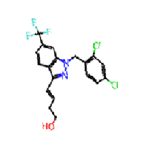 OCCC=Cc1nn(Cc2ccc(Cl)cc2Cl)c2cc(C(F)(F)F)ccc12